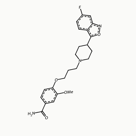 COc1cc(C(N)=O)ccc1OCCCN1CCC(c2onc3cc(F)ccc23)CC1